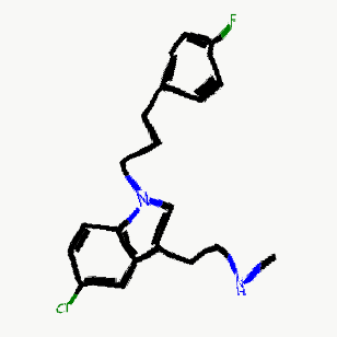 CNCCc1cn(CCCc2ccc(F)cc2)c2ccc(Cl)cc12